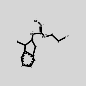 CC1c2ccccc2CC1N/C(=N\C#N)NCCF